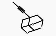 CC#CC12CC3SC(C1)SC(C2)S3